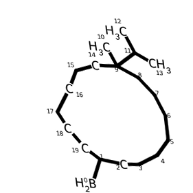 BC1CCCCCCCC(C)(C(C)C)CCCCCC1